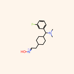 CN(C)C(c1cccc(F)c1)C1CCC(C/C=N/O)CC1